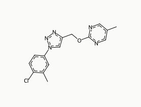 Cc1cnc(OCc2cn(-c3ccc(Cl)c(C)c3)nn2)nc1